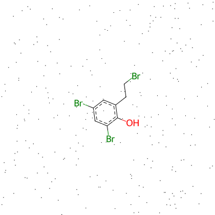 Oc1c(Br)cc(Br)cc1CCBr